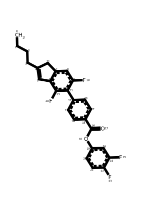 CCCCC1=Cc2c(cc(F)c(-c3ccc(C(=O)Oc4ccc(F)c(F)c4)cc3)c2F)C1